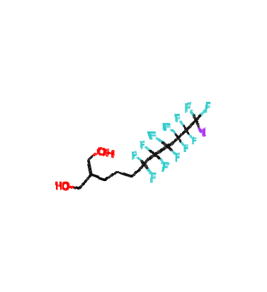 OCC(CO)CCCC(F)(F)C(F)(F)C(F)(F)C(F)(F)C(F)(F)C(F)(F)I